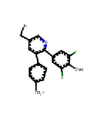 COc1c(F)cc(-c2ncc(CC(C)C)cc2-c2ccc(C(=O)O)cc2)cc1F